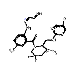 Cc1ccc(N/N=C\C=N)c(C(=O)N2CC(F)(F)C[C@@H](C)C2CNc2ncc(Cl)cn2)c1